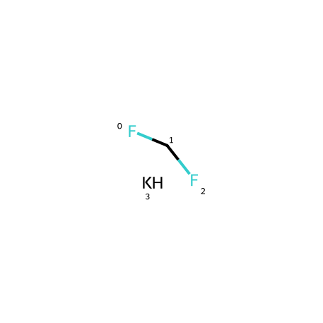 FCF.[KH]